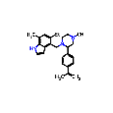 C=C(C)c1ccc(C2CN(C)CCN2Cc2c(CC)cc(C)c3[nH]ccc23)cc1